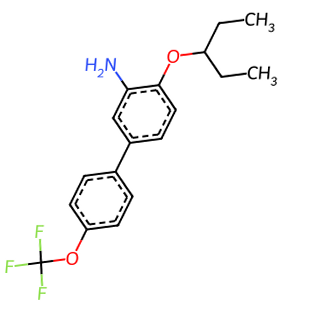 CCC(CC)Oc1ccc(-c2ccc(OC(F)(F)F)cc2)cc1N